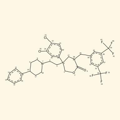 O=C1OCC(CCN2CCC(c3ccccc3)CC2)(c2ccc(Cl)c(Cl)c2)CN1Cc1cc(C(F)(F)F)cc(C(F)(F)F)c1